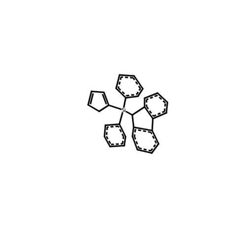 C1=CCC([Si](c2ccccc2)(c2ccccc2)C2c3ccccc3-c3ccccc32)=C1